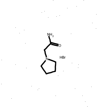 Br.NC(=O)CN1CCCC1